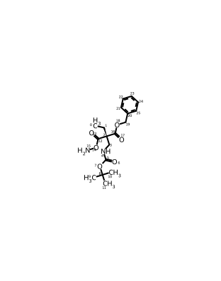 CC[C@@](CNC(=O)OC(C)(C)C)(C(=O)ON)C(=O)OCc1ccccc1